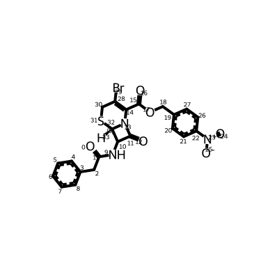 O=C(Cc1ccccc1)NC1C(=O)N2C(C(=O)OCc3ccc([N+](=O)[O-])cc3)=C(Br)CS[C@@H]12